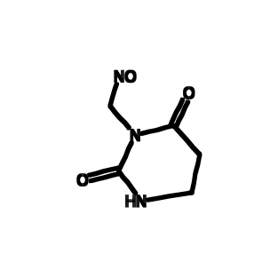 O=NCN1C(=O)CCNC1=O